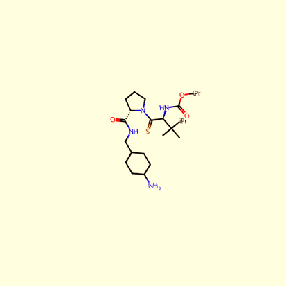 CC(C)OC(=O)N[C@H](C(=S)N1CCC[C@H]1C(=O)NCC1CCC(N)CC1)C(C)(C)C(C)C